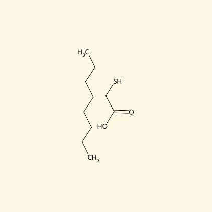 CCCCCCCC.O=C(O)CS